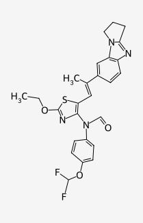 CCOc1nc(N(C=O)c2ccc(OC(F)F)cc2)c(/C=C(\C)c2ccc3nc4n(c3c2)CCC4)s1